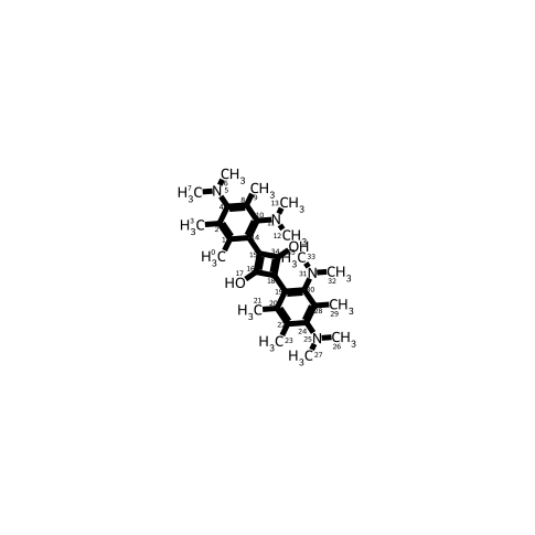 Cc1c(C)c(N(C)C)c(C)c(N(C)C)c1C1=C(O)C(c2c(C)c(C)c(N(C)C)c(C)c2N(C)C)=C1O